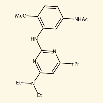 CCCc1cc(N(CC)CC)nc(Nc2cc(NC(C)=O)ccc2OC)n1